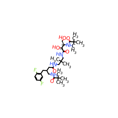 CC(C)(CNC(=O)CC(CNC(=O)C(C)(C)C)Cc1cc(F)ccc1F)CNC(=O)[C@@H](O)[C@@H](CO)NC(=O)C(C)(C)C